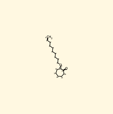 C=CCCCCCCCCON1CCCCCC1=O